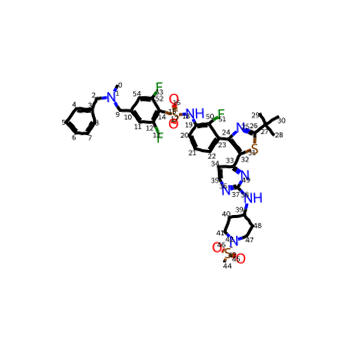 CN(Cc1ccccc1)Cc1cc(F)c(S(=O)(=O)Nc2cccc(-c3nc(C(C)(C)C)sc3-c3ccnc(NC4CCN(S(C)(=O)=O)CC4)n3)c2F)c(F)c1